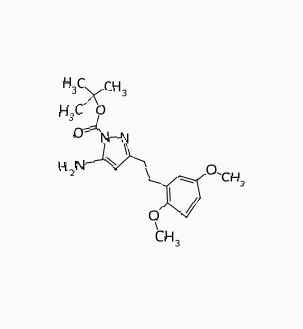 COc1ccc(OC)c(CCc2cc(N)n(C(=O)OC(C)(C)C)n2)c1